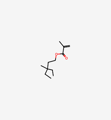 C=C(C)C(=O)OCCC(C)(CC)CC